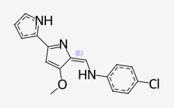 COC1=CC(c2ccc[nH]2)=N/C1=C/Nc1ccc(Cl)cc1